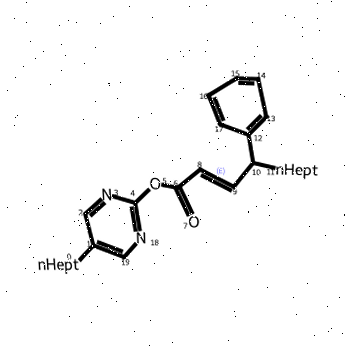 CCCCCCCc1cnc(OC(=O)/C=C/C(CCCCCCC)c2ccccc2)nc1